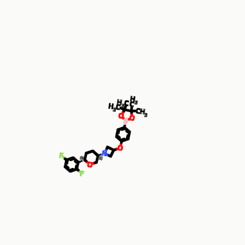 CC1(C)OB(c2ccc(OC3CN([C@H]4CC[C@@H](c5cc(F)ccc5F)OC4)C3)cc2)OC1(C)C